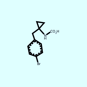 O=C(O)NC1(Cc2ccc(Br)cc2)CC1